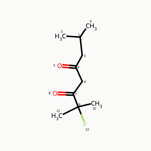 CC(C)CC(=O)CC(=O)C(C)(C)F